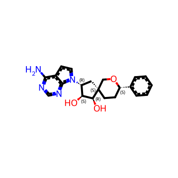 Nc1ncnc2c1ccn2[C@@H]1C[C@]2(CC[C@@H](c3ccccc3)OC2)[C@@H](O)[C@H]1O